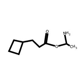 CC(N)OC(=O)CCC1CCC1